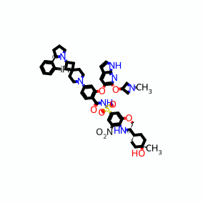 CC(C)c1ccccc1[C@H]1CCCN1C1CC2(CCN(c3ccc(C(=O)NS(=O)(=O)c4cc5c(c([N+](=O)[O-])c4)N[C@@H]([C@H]4CC[C@](C)(O)CC4)CO5)c(Oc4cc5cc[nH]c5nc4OC4CN(C)C4)c3)CC2)C1